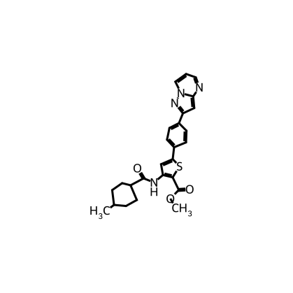 COC(=O)c1sc(-c2ccc(-c3cc4ncccn4n3)cc2)cc1NC(=O)C1CCC(C)CC1